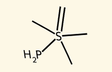 C=S(C)(C)(C)P